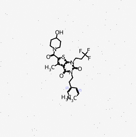 C/C=C\C(=C/C)CCn1c(=O)c2c(C)c(C(=O)N3CCC(O)CC3)sc2n(CCC(F)(F)F)c1=O